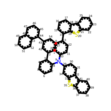 c1cc(-c2ccccc2N(c2ccc(-c3cccc4c3sc3ccccc34)cc2)c2ccc3c(c2)sc2ccccc23)cc(-c2cccc3ccccc23)c1